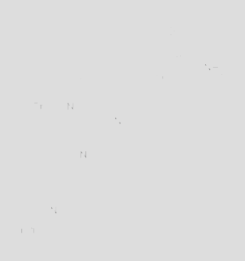 CCCN1CCCN(c2nc3c(OC(N)=O)cccc3n2CC)CC1